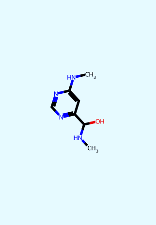 CNc1cc(C(O)NC)ncn1